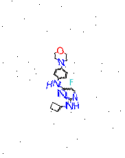 Fc1cnc(NC2CCC2)nc1Nc1ccc(N2CCOCC2)cc1